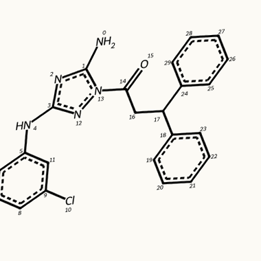 Nc1nc(Nc2cccc(Cl)c2)nn1C(=O)CC(c1ccccc1)c1ccccc1